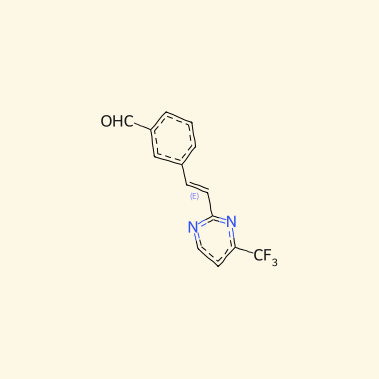 O=Cc1cccc(/C=C/c2nccc(C(F)(F)F)n2)c1